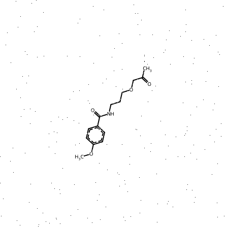 COc1ccc(C(=O)NCCCOCC(C)=O)cc1